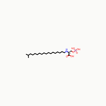 CC(C)CCCCCCCCCCCCCCCCN[C@@H](COP(=O)(O)O)C(=O)O